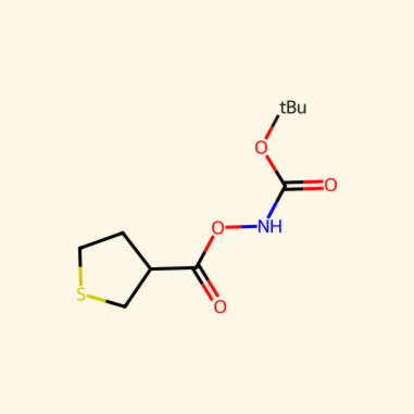 CC(C)(C)OC(=O)NOC(=O)C1CCSC1